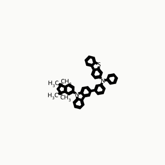 CC1(C)CC(C)(C)c2cc(-n3c4ccccc4c4cc(-c5cccc(N(c6ccccc6)c6ccc7c(c6)sc6ccccc67)c5)ccc43)ccc21